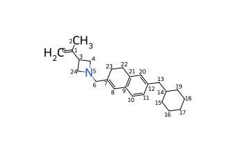 C=C(C)C1CN(CC2=Cc3ccc(CC4CCCCC4)cc3CC2)C1